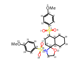 COc1ccc(S(=O)(=O)C2CCC3(OCCN3S(=O)(=O)c3ccc(OC)cc3)C3CCCCC32)cc1